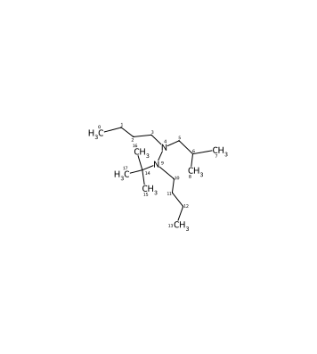 CCCCN(CC(C)C)N(CCCC)C(C)(C)C